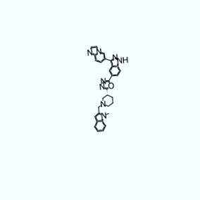 Cn1c(CN2CCC[C@@H](c3nnc(-c4ccc5[nH]nc(-c6ccc7nccn7c6)c5c4)o3)C2)cc2ccccc21